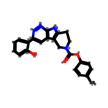 O=C(Oc1ccc([N+](=O)[O-])cc1)N1CCc2[nH]c3nnc(-c4ccccc4O)cc3c2C1